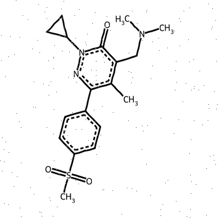 Cc1c(-c2ccc(S(C)(=O)=O)cc2)nn(C2CC2)c(=O)c1CN(C)C